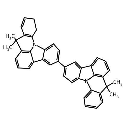 CC1(C)C2=C(CCC=C2)n2c3ccc(-c4ccc5c(c4)c4cccc6c4n5-c4ccccc4C6(C)C)cc3c3cccc1c32